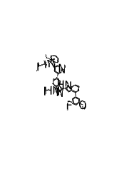 CCC(=O)Nc1cncc(-c2ccc3[nH]nc(-c4cc5c(-c6cc(F)cc(OC)c6)cccc5[nH]4)c3c2)c1